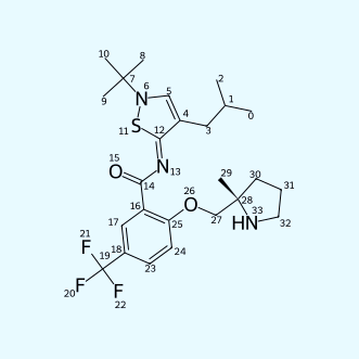 CC(C)Cc1cn(C(C)(C)C)s/c1=N\C(=O)c1cc(C(F)(F)F)ccc1OC[C@]1(C)CCCN1